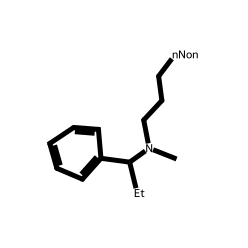 CCCCCCCCCCCCN(C)C(CC)c1ccccc1